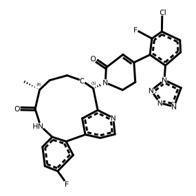 C[C@@H]1CCC[C@H](N2CCC(c3c(-n4cnnn4)ccc(Cl)c3F)=CC2=O)c2cc(ccn2)-c2cc(F)ccc2NC1=O